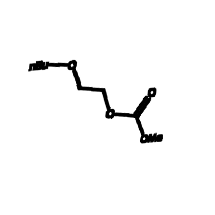 [CH2]OC(=O)OCCOCCCC